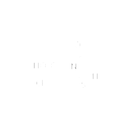 O=C(O)C1=C(CCl)CS[C@@H]2CC(=O)N12